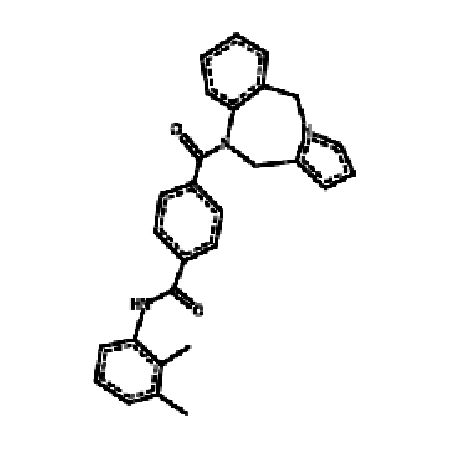 Cc1cccc(NC(=O)c2ccc(C(=O)N3Cc4cccn4Cc4ccccc43)cc2)c1C